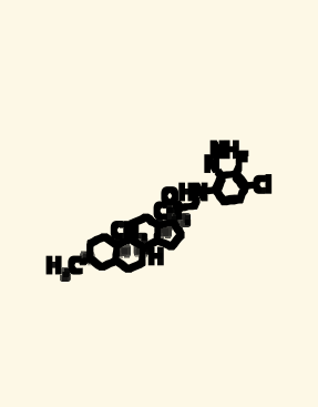 C[C@H]1CC[C@@]2(C)C(CC[C@@H]3C2CC[C@@]2(C)C3CC[C@@H]2C(=O)CNc2ccc(Cl)c(F)c2N=N)C1